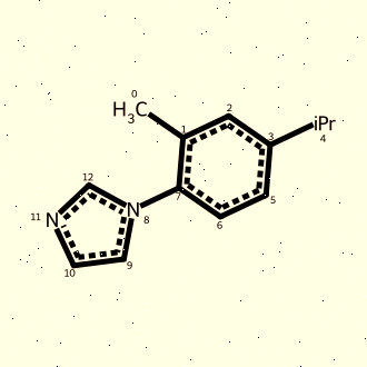 Cc1cc(C(C)C)ccc1-n1ccnc1